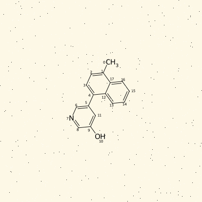 Cc1ccc(-c2cncc(O)c2)c2ccccc12